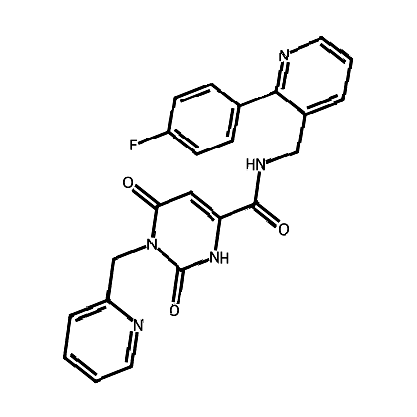 O=C(NCc1cccnc1-c1ccc(F)cc1)c1cc(=O)n(Cc2ccccn2)c(=O)[nH]1